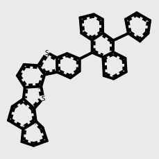 c1ccc(-c2c3ccccc3c(-c3ccc4c(c3)sc3ccc5c6ccc7ccccc7c6sc5c34)c3ccccc23)cc1